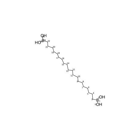 OB(O)CCCCCCCCCCCCCCCCCCCCB(O)O